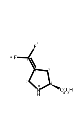 O=C(O)[C@@H]1CC(=C(F)F)CN1